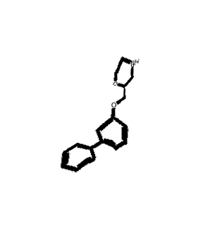 c1ccc(-c2cccc(OC[C@@H]3CNCCO3)c2)cc1